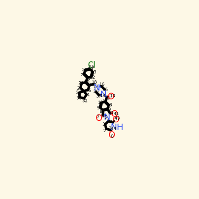 O=C1CCC(N2C(=O)c3ccc(C(=O)N4CCN(CC5=C(c6ccc(Cl)cc6)CCC6(CCCC6)C5)CC4)cc3C2=O)C(=O)N1